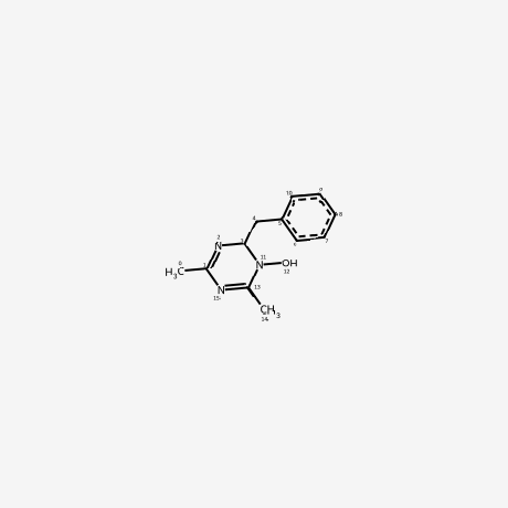 CC1=NC(Cc2ccccc2)N(O)C(C)=N1